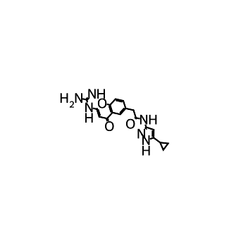 N=C(N)Nc1cc(=O)c2cc(CC(=O)Nc3cc(C4CC4)[nH]n3)ccc2o1